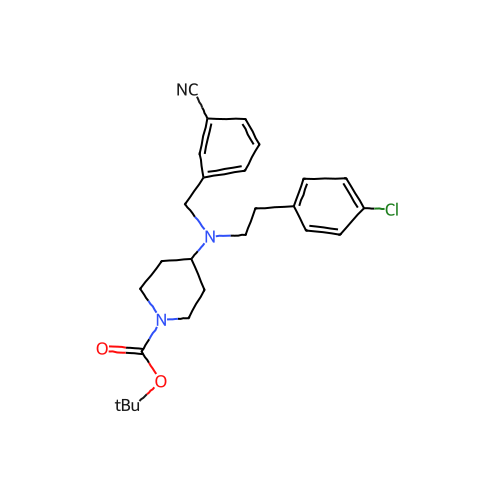 CC(C)(C)OC(=O)N1CCC(N(CCc2ccc(Cl)cc2)Cc2cccc(C#N)c2)CC1